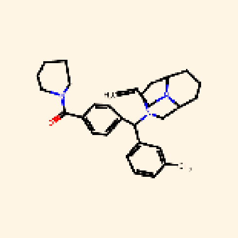 C=CCN1C2CCCC1CN(C(c1ccc(C(=O)N3CCCCC3)cc1)c1cccc(C)c1)CC2